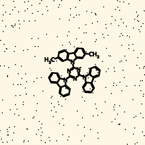 Cc1ccc2c3ccc(C)cc3n(-c3nc(-n4c5ccccc5c5ccccc54)nc(-n4c5ccccc5c5ccccc54)n3)c2c1